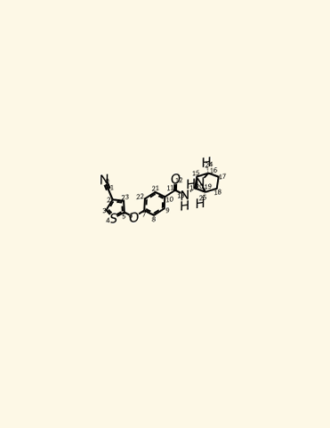 N#Cc1csc(Oc2ccc(C(=O)N[C@@H]3C[C@H]4CC[C@@H]3N4)cc2)c1